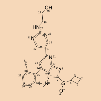 Nc1c([S+]([O-])C2CCC2)sc2nc(-c3cnc(NCCO)nc3)cc(-c3ccccc3F)c12